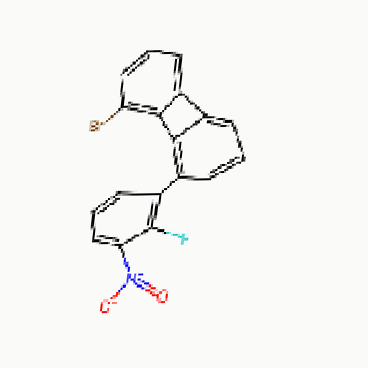 O=[N+]([O-])c1cccc(-c2cccc3c2-c2c(Br)cccc2-3)c1F